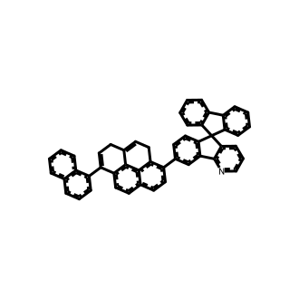 C1=C(c2cccc3ccccc23)c2ccc3ccc(-c4ccc5c(c4)-c4ncccc4C54c5ccccc5-c5ccccc54)c4c3c2C(=CC4)C1